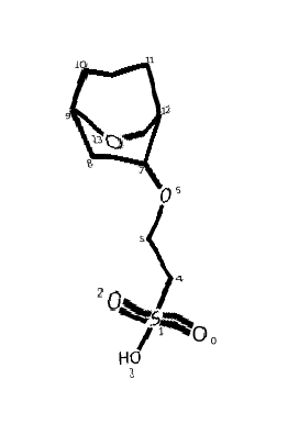 O=S(=O)(O)CCOC1CC2CCC1O2